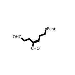 CCCCCCCC=C(C=O)CCC=O